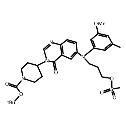 COc1cc(C)cc(N(CCCOS(C)(=O)=O)c2ccc3ncn(C4CCN(C(=O)OC(C)(C)C)CC4)c(=O)c3c2)c1